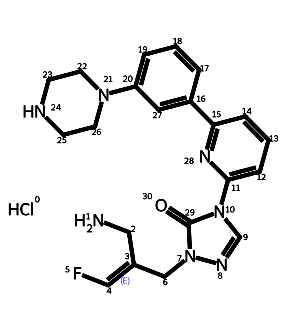 Cl.NC/C(=C\F)Cn1ncn(-c2cccc(-c3cccc(N4CCNCC4)c3)n2)c1=O